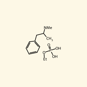 CCOP(=O)(O)O.CNC(C)Cc1ccccc1